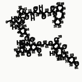 CC[C@H](C)[C@H](NC(=O)[C@H]1CCCN1C(=O)CNC(=O)CNC(=O)CCC(=O)N1Cc2ccccc2C#Cc2ccccc21)C(=O)Nc1ccc(COC(=O)N2c3cc(OCCCOc4cc5c(cc4OC)C(=O)N4C=C(c6ccc(OC)cc6)C[C@H]4CN5)c(OC)cc3C(=O)N3CC4(CC4)C[C@H]3C2O)cc1